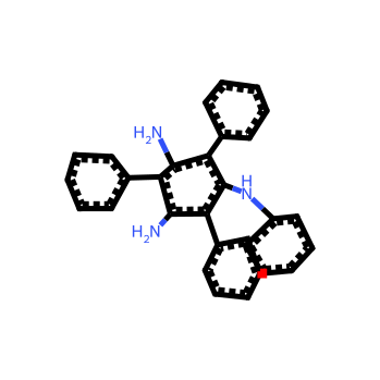 Nc1c(-c2ccccc2)c(N)c(-c2ccccc2)c(Nc2ccccc2)c1-c1ccccc1